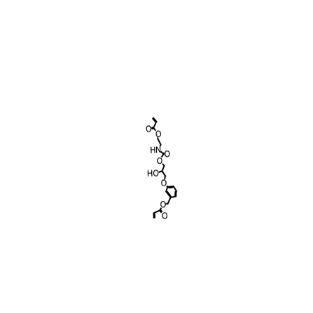 C=CC(=O)OCCNC(=O)OCC(O)COc1cccc(COC(=O)C=C)c1